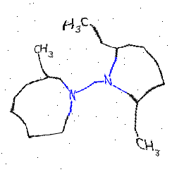 CC1CCCN1N1C(C)CCC1C